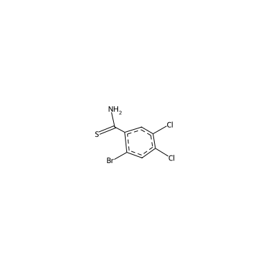 NC(=S)c1cc(Cl)c(Cl)cc1Br